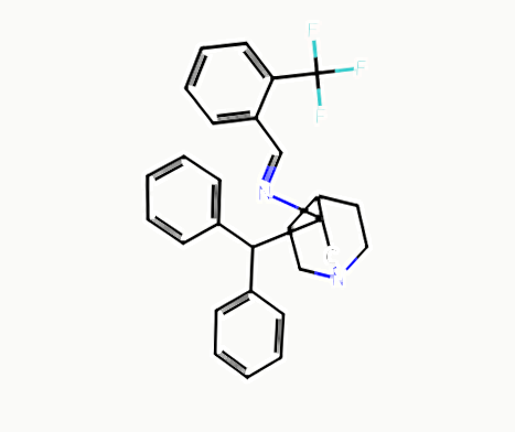 FC(F)(F)c1ccccc1C=NC1(C(c2ccccc2)c2ccccc2)CN2CCC1CC2